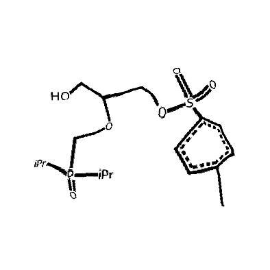 Cc1ccc(S(=O)(=O)OCC(CO)OCP(=O)(C(C)C)C(C)C)cc1